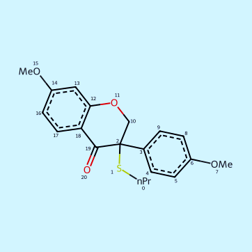 CCCSC1(c2ccc(OC)cc2)COc2cc(OC)ccc2C1=O